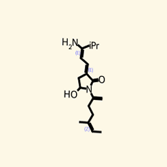 C=C(CC/C(C)=C\C)N1C(=O)/C(=C/C=C(/N)C(C)C)CC1O